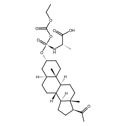 CCOC(=O)O[P@](=O)(N[C@@H](C)C(=O)O)O[C@@H]1CC[C@@]2(C)[C@@H](CC[C@@H]3[C@@H]2CC[C@]2(C)[C@@H](C(C)=O)CC[C@@H]32)C1